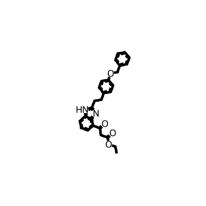 CCOC(=O)CC(=O)c1cccc2[nH]c(CCc3ccc(OCc4ccccc4)cc3)nc12